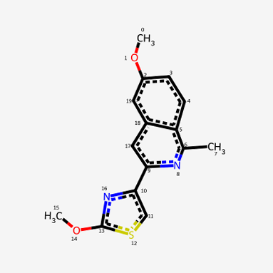 COc1ccc2c(C)nc(-c3csc(OC)n3)cc2c1